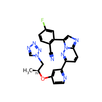 C[C@@H](Cn1cnnn1)Oc1ccnc(-c2ccc3ncc(-c4cc(F)ccc4C#N)n3n2)c1